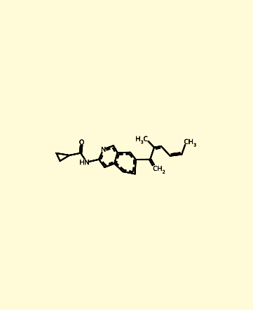 C=C(/C(C)=C\C=C/C)c1ccc2cc(NC(=O)C3CC3)ncc2c1